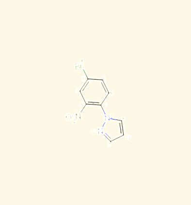 O=[N+]([O-])c1cc(Br)ccc1-n1cccn1